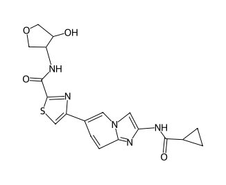 O=C(NC1COCC1O)c1nc(-c2ccc3nc(NC(=O)C4CC4)cn3c2)cs1